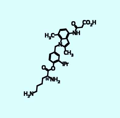 Cc1ccc(NC(=O)CC(=O)O)c2cc(C)n(Cc3ccc(OC(=O)[C@@H](N)CCCCN)c(C(C)C)c3)c12